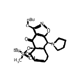 CCCCOc1noc2c1C(=O)[C@@]1(O[Si](C)(C)C(C)(C)C)C(=O)C=CCC1[C@@H]2N1CCCC1